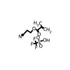 C=C(C)C(=O)OCCC#N.O=S(=O)(O)C(F)(F)F